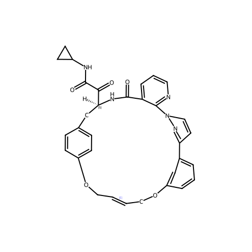 O=C(NC1CC1)C(=O)[C@@H]1Cc2ccc(cc2)OC/C=C/COc2cccc(c2)-c2ccn(n2)-c2ncccc2C(=O)N1